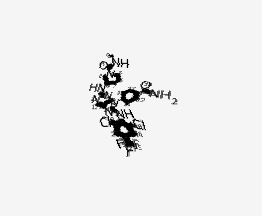 CNC(=O)N1CCC[C@@H](Nc2ncc3nc(Nc4c(Cl)cc(C(F)(F)F)cc4Cl)n([C@H]4CC[C@H](C(N)=O)CC4)c3n2)C1